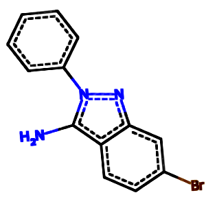 Nc1c2ccc(Br)cc2nn1-c1ccccc1